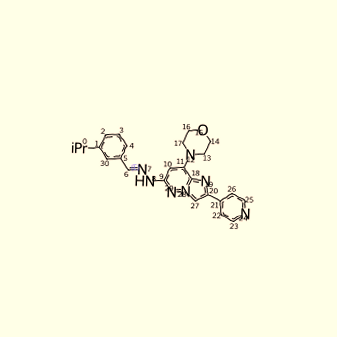 CC(C)c1cccc(/C=N/Nc2cc(N3CCOCC3)c3nc(-c4ccncc4)cn3n2)c1